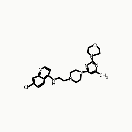 Cc1cc(N2CCN(CCNc3ccnc4cc(Cl)ccc34)CC2)nc(N2CCOCC2)n1